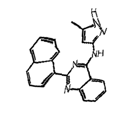 Cc1cc(Nc2nc(-c3cccc4ccccc34)nc3ccccc23)n[nH]1